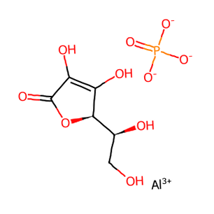 O=C1O[C@H]([C@@H](O)CO)C(O)=C1O.O=P([O-])([O-])[O-].[Al+3]